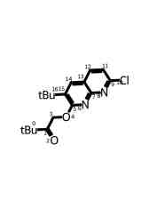 CC(C)(C)C(=O)COc1nc2nc(Cl)ccc2cc1C(C)(C)C